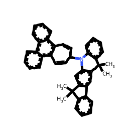 CC1(C)c2ccccc2-c2cc3c(cc21)N(C1C=Cc2c(c4ccccc4c4ccccc24)C=C1)c1ccccc1C3(C)C